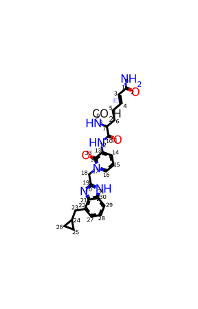 NC(=O)/C=C/CCC(NC(=O)O)C(=O)Nc1cccn(Cc2nc3c(CC4CC4)cccc3[nH]2)c1=O